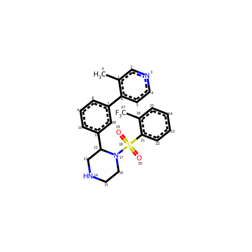 Cc1cnccc1-c1cccc(C2CNCCN2S(=O)(=O)c2ccccc2C(F)(F)F)c1